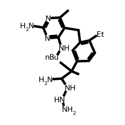 CCCCNc1nc(N)nc(C)c1Cc1cc(C(C)(C)C(N)NNN)ccc1CC